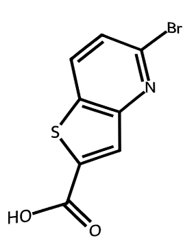 O=C(O)c1cc2nc(Br)ccc2s1